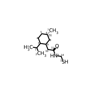 CC(C)C1CC[C@H](C)CC1CC(=O)NCS